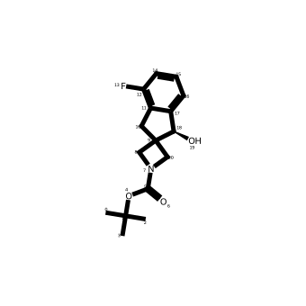 CC(C)(C)OC(=O)N1CC2(Cc3c(F)cccc3[C@H]2O)C1